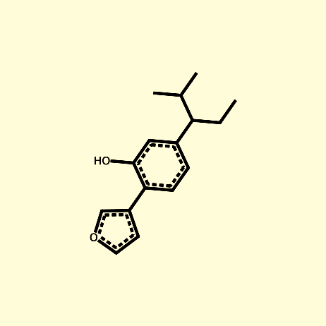 CCC(c1ccc(-c2ccoc2)c(O)c1)C(C)C